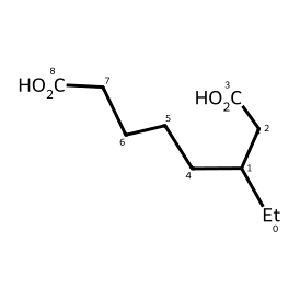 CCC([CH]C(=O)O)CCCCC(=O)O